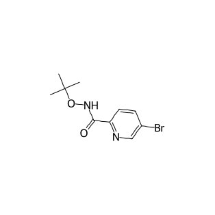 CC(C)(C)ONC(=O)c1ccc(Br)cn1